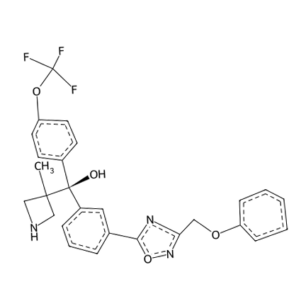 CC1([C@](O)(c2ccc(OC(F)(F)F)cc2)c2cccc(-c3nc(COc4ccccc4)no3)c2)CNC1